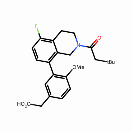 COc1ccc(CC(=O)O)cc1-c1ccc(F)c2c1CN(C(=O)CC(C)(C)C)CC2